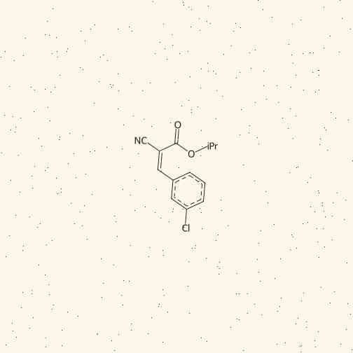 CC(C)OC(=O)C(C#N)=Cc1cccc(Cl)c1